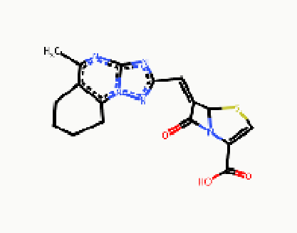 Cc1nc2nc(C=C3C(=O)N4C(C(=O)O)=CSC34)nn2c2c1CCCC2